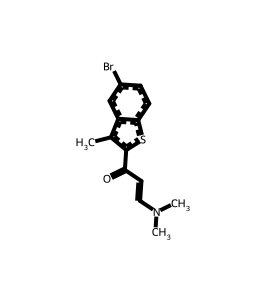 Cc1c(C(=O)C=CN(C)C)sc2ccc(Br)cc12